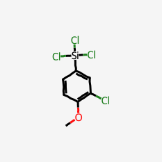 COc1ccc([Si](Cl)(Cl)Cl)cc1Cl